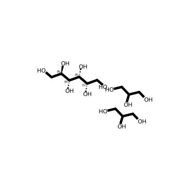 OCC(O)CO.OCC(O)CO.OC[C@@H](O)[C@@H](O)[C@H](O)[C@@H](O)CO